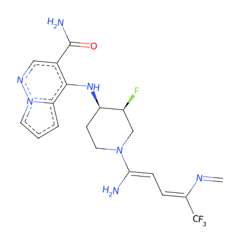 C=N/C(=C\C=C(/N)N1CC[C@@H](Nc2c(C(N)=O)cnn3cccc23)[C@@H](F)C1)C(F)(F)F